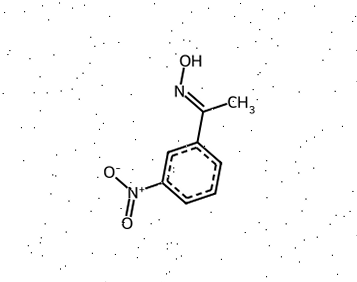 CC(=NO)c1cccc([N+](=O)[O-])c1